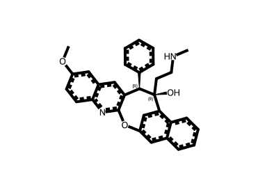 CNCC[C@]1(O)c2cc(cc3ccccc23)Oc2nc3ccc(OC)cc3cc2[C@H]1c1ccccc1